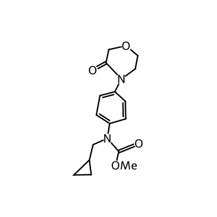 COC(=O)N(CC1CC1)c1ccc(N2CCOCC2=O)cc1